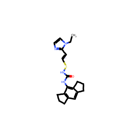 CCn1ccnc1/C=C/SNC(=O)Nc1c2c(cc3c1CCC3)CCC2